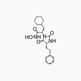 O=C(NO)[C@@H](CC1CCCCC1)N1C(=O)N[C@@H](CCc2ccccc2)C1=O